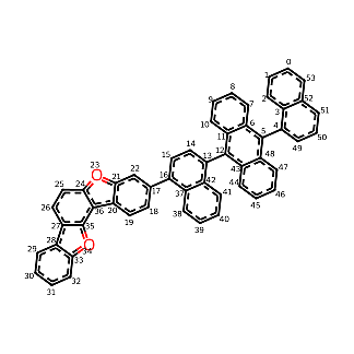 c1ccc2c(-c3c4ccccc4c(-c4ccc(-c5ccc6c(c5)oc5ccc7c8ccccc8oc7c56)c5ccccc45)c4ccccc34)cccc2c1